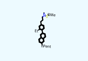 CCCCCc1ccc2cc(-c3ccc(CCCN(C)SOC)cc3CC)ccc2c1